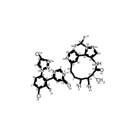 [2H]C1C[C@H](n2cnc(-c3c(-n4cc(Cl)nn4)ccc(Cl)c3F)cc2=O)c2cc(ccn2)-c2c(cnn2C(F)F)NC(=O)[C@H](C)C1[2H]